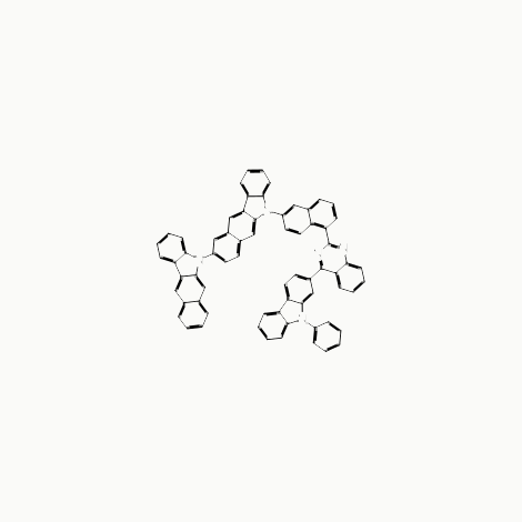 c1ccc(-n2c3ccccc3c3ccc(-c4nc(-c5cccc6cc(-n7c8ccccc8c8cc9cc(-n%10c%11ccccc%11c%11cc%12ccccc%12cc%11%10)ccc9cc87)ccc56)nc5ccccc45)cc32)cc1